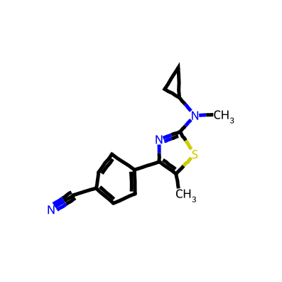 Cc1sc(N(C)C2CC2)nc1-c1ccc(C#N)cc1